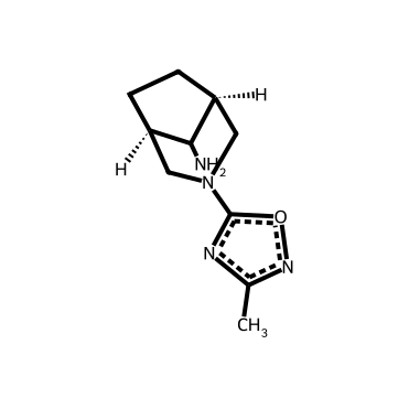 Cc1noc(N2C[C@H]3CC[C@@H](C2)C3N)n1